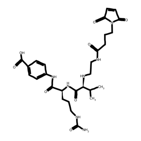 CC(C)[C@H](NCCNC(=O)CCCN1C(=O)C=CC1=O)C(=O)N[C@@H](CCCNC(N)=O)C(=O)Nc1ccc(C(=O)O)cc1